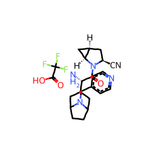 N#C[C@@H]1C[C@@H]2C[C@@H]2N1C(=O)[C@@H](N)C1CC2CCC(C1)N2Cc1ccncc1.O=C(O)C(F)(F)F